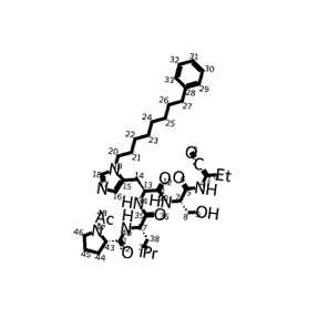 CCC(=C=O)NC(=O)[C@H](CO)NC(=O)[C@H](Cc1cncn1CCCCCCCCc1ccccc1)NC(=O)[C@H](CC(C)C)NC(=O)[C@@H]1CCCN1C(C)=O